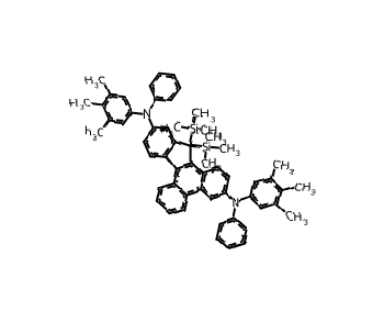 Cc1cc(N(c2ccccc2)c2ccc3c(c2)C([Si](C)(C)C)([Si](C)(C)C)c2c-3c3ccccc3c3cc(N(c4ccccc4)c4cc(C)c(C)c(C)c4)ccc23)cc(C)c1C